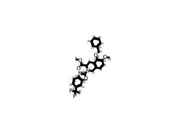 COC(=O)C1Cc2c(ccc(OC)c2OCc2ccccc2)CN1c1nc2ccc(C(F)(F)F)cc2o1